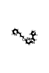 c1ccc(CCCOc2ccc3ncc(-c4ccsc4)n3n2)nc1